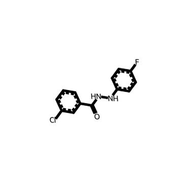 O=C(NNc1ccc(F)cc1)c1cccc(Cl)c1